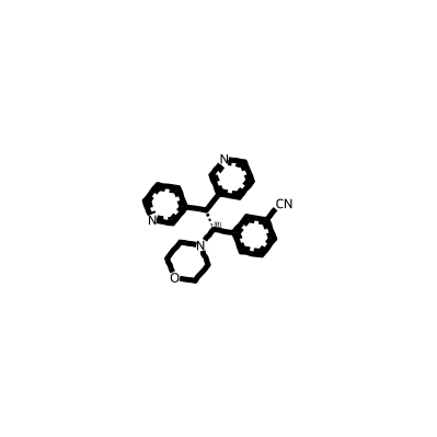 N#Cc1cccc([C@@H](C(c2cccnc2)c2cccnc2)N2CCOCC2)c1